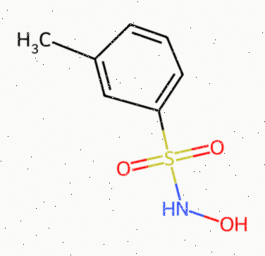 Cc1cccc(S(=O)(=O)NO)c1